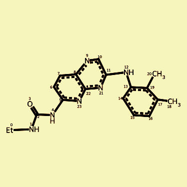 CCNC(=O)Nc1ccc2ncc(Nc3cccc(C)c3C)nc2n1